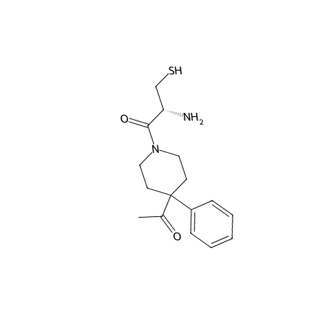 CC(=O)C1(c2ccccc2)CCN(C(=O)[C@@H](N)CS)CC1